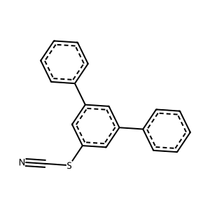 N#CSc1cc(-c2ccccc2)cc(-c2ccccc2)c1